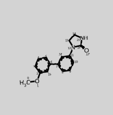 COc1cccc(-c2cccc(N3CCNC3=O)c2)c1